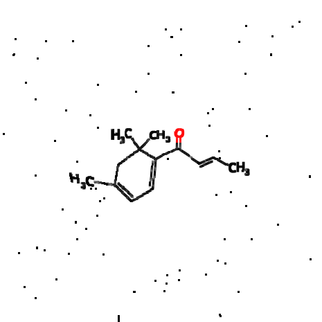 C/C=C/C(=O)C1=CC=C(C)CC1(C)C